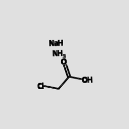 N.O=C(O)CCl.[NaH]